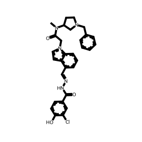 CN(C(=O)Cn1ccc2c(/C=N/NC(=O)c3ccc(O)c(Cl)c3)cccc21)C1CCN(Cc2ccccc2)C1